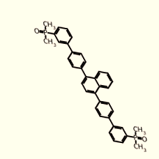 CP(C)(=O)c1cccc(-c2ccc(-c3ccc(-c4ccc(-c5cccc(P(C)(C)=O)c5)cc4)c4ccccc34)cc2)c1